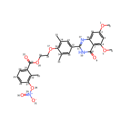 COc1cc(OC)c2c(=O)[nH]c(-c3cc(C)c(OCCOC(=O)c4cccc(O[N+](=O)[O-])c4C)c(C)c3)nc2c1